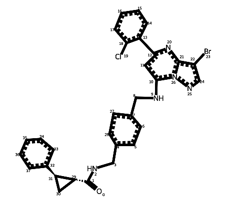 O=C(NCc1ccc(CNc2cc(-c3ccccc3Cl)nc3c(Br)cnn23)cc1)[C@@H]1C[C@H]1c1ccccc1